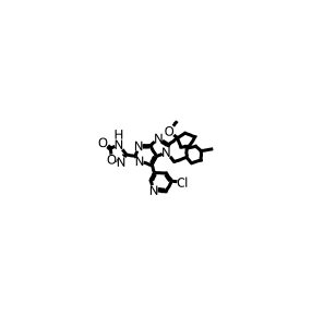 COC1(c2nc3nc(-c4noc(=O)[nH]4)nc(-c4cncc(Cl)c4)c3n2CC2CCC(C)CC2)CCCC1